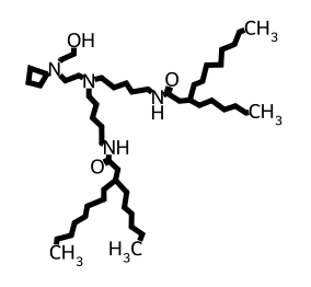 CCCCCCCCC(CCCCCC)CC(=O)NCCCCCN(CCCCCNC(=O)CC(CCCCCC)CCCCCCCC)CCN(CCO)C1CCC1